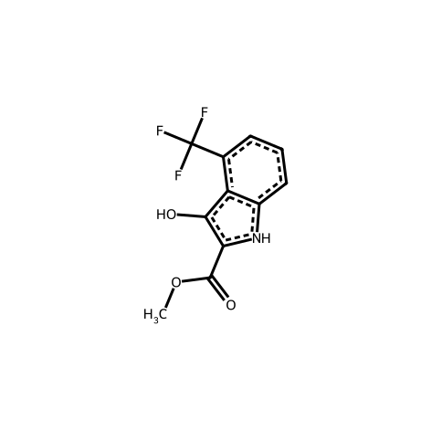 COC(=O)c1[nH]c2cccc(C(F)(F)F)c2c1O